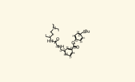 CC(CCN(C)C)NC(=O)CNCc1cc(C(=O)Oc2ccc(C(C)(C)C)cc2)ccn1